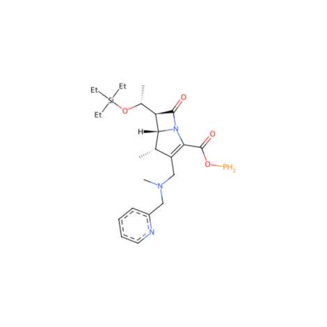 CC[Si](CC)(CC)O[C@H](C)[C@H]1C(=O)N2C(C(=O)OP)=C(CN(C)Cc3ccccn3)[C@H](C)[C@H]12